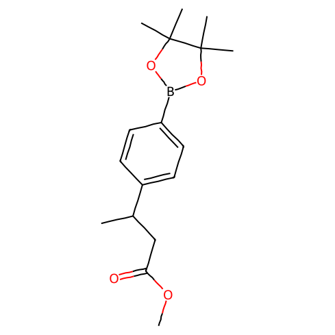 COC(=O)CC(C)c1ccc(B2OC(C)(C)C(C)(C)O2)cc1